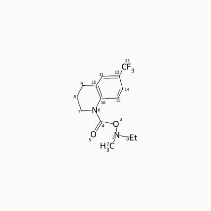 CCN(C)OC(=O)N1CCCc2cc(C(F)(F)F)ccc21